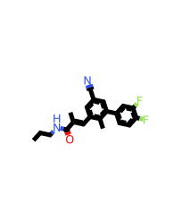 CCCNC(=O)/C(C)=C/c1cc(C#N)cc(-c2ccc(F)c(F)c2)c1C